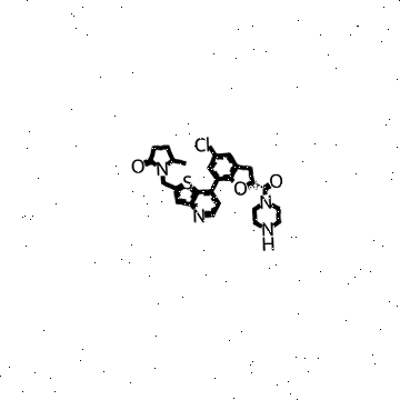 CC1CCC(=O)N1Cc1cc2nccc(-c3cc(Cl)cc4c3O[C@@H](C(=O)N3CCNCC3)C4)c2s1